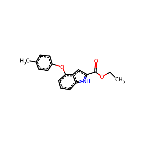 CCOC(=O)c1cc2c(Oc3ccc(C)cc3)cccc2[nH]1